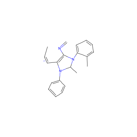 C=NC1=C(/C=C\C)N(c2ccccc2)C(C)N1c1ccccc1C